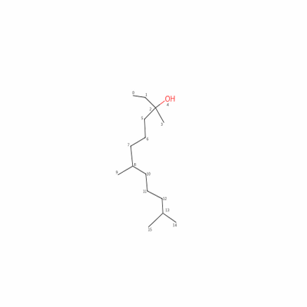 CCC(C)(O)CCCC(C)CCCC(C)C